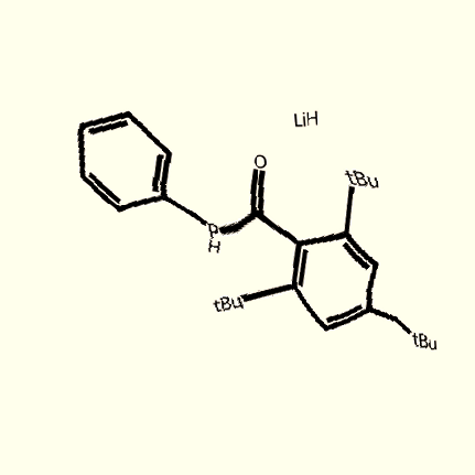 CC(C)(C)c1cc(C(C)(C)C)c(C(=O)Pc2ccccc2)c(C(C)(C)C)c1.[LiH]